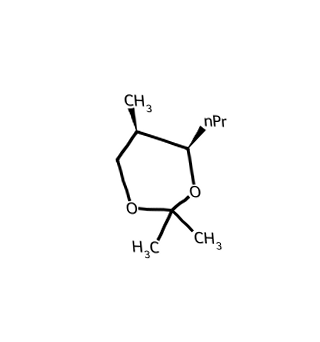 CCC[C@H]1OC(C)(C)OC[C@H]1C